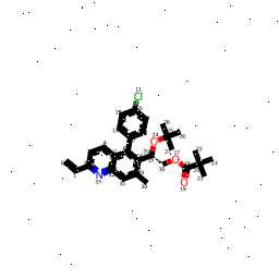 C=Cc1ccc2c(-c3ccc(Cl)cc3)c([C@@H](COC(=O)C(C)(C)C)OC(C)(C)C)c(C)cc2n1